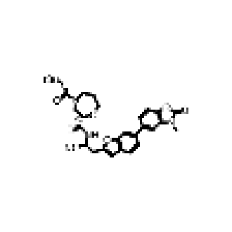 Cn1c(=O)oc2ccc(-c3ccc4cc(CC(C#N)NC(=O)[C@@H]5CN(C(=O)OC(C)(C)C)CCCO5)oc4c3)cc21